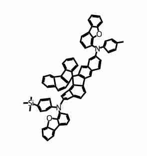 Cc1ccc(N(c2ccc3cc4c(cc3c2)C2(c3ccccc3-c3c2ccc2ccccc32)c2c-4ccc3cc(N(c4ccc([Si](C)(C)C)cc4)c4cccc5c4oc4ccccc45)ccc23)c2cccc3c2oc2ccccc23)cc1